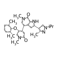 Cc1cccc(C)c1Oc1cn(C)c(=O)cc1-c1cn(C)c(=O)c2[nH]c(-c3cn(C(C)C)nc3C)cc12